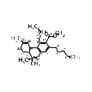 CCCCCc1cc2c(c(OC(C)=O)c1C(=O)OC)C1C=C(C)CCC1C(C)(C)O2